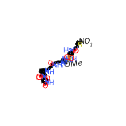 COc1nc(C#CCNC(=O)CCCCNc2cccc3c2CN(C2CCC(=O)NC2=O)C3=O)cnc1NS(=O)(=O)c1ccc(NC(=O)/C=C/c2ccc([N+](=O)[O-])s2)cc1